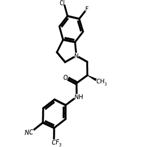 C[C@H](CN1CCc2cc(Cl)c(F)cc21)C(=O)Nc1ccc(C#N)c(C(F)(F)F)c1